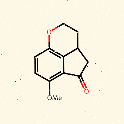 COc1ccc2c3c1C(=O)CC3CCO2